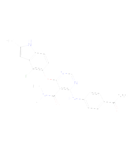 CNC(=O)c1ccc(Nc2ncnc(Oc3ccc4[nH]c(C)cc4c3F)c2C(=O)N(C)C)cc1